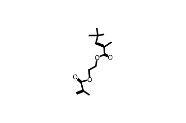 C=C(C)C(=O)OCCOC(=O)C(C)=CC(C)(C)C